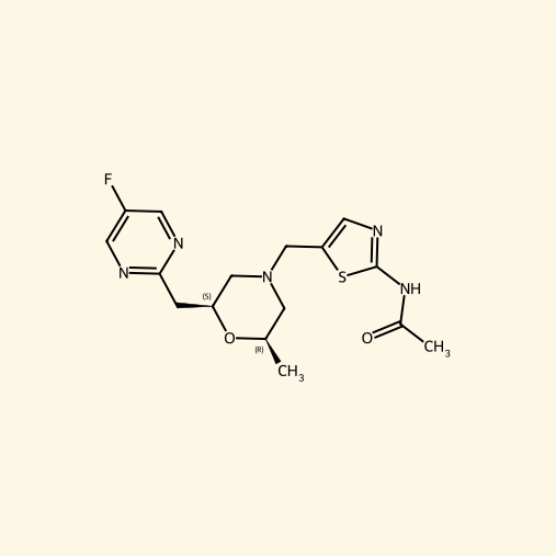 CC(=O)Nc1ncc(CN2C[C@H](Cc3ncc(F)cn3)O[C@H](C)C2)s1